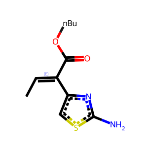 C/C=C(/C(=O)OCCCC)c1csc(N)n1